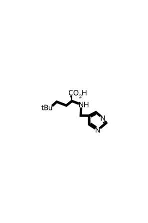 CC(C)(C)CC[C@H](NCc1cncnc1)C(=O)O